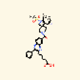 C/C=C\C1=C(C)N(S(C)(=O)=O)CC12CCN(C(=O)c1ccc3nc(-c4ccccc4)c(CCCCC(=O)O)nc3c1)CC2